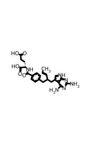 CC=CC(Cc1ccc(C(=O)N[C@@H](CCC(=O)O)C(=O)O)cc1)Cc1c[nH]c2nc(N)nc(N)c12